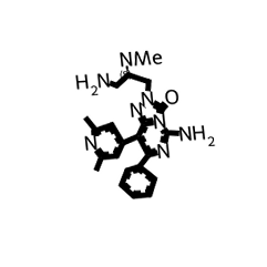 CN[C@@H](CN)Cn1nc2c(-c3cc(C)nc(C)c3)c(-c3ccccc3)nc(N)n2c1=O